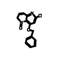 O=[N+]1CC=Cc2nc(Cl)cc(OCc3ccccc3)c21